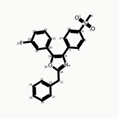 CS(=O)(=O)c1ccc(-c2nc(Cc3ccccc3)oc2-c2cccc(F)c2)cc1